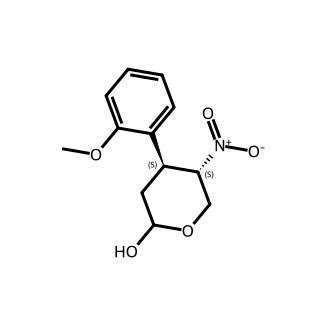 COc1ccccc1[C@@H]1CC(O)OC[C@H]1[N+](=O)[O-]